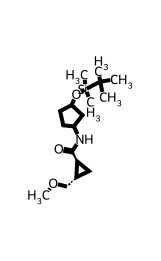 COC[C@H]1C[C@@H]1C(=O)NC1CCC(O[Si](C)(C)C(C)(C)C)C1